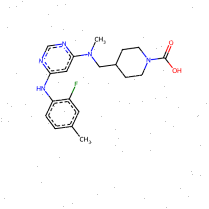 Cc1ccc(Nc2cc(N(C)CC3CCN(C(=O)O)CC3)ncn2)c(F)c1